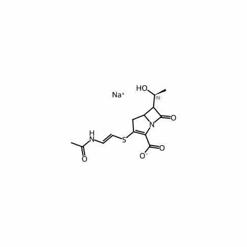 CC(=O)NC=CSC1=C(C(=O)[O-])N2C(=O)C([C@H](C)O)C2C1.[Na+]